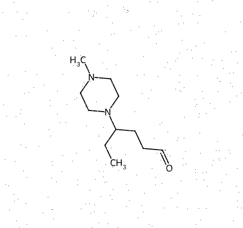 CCC(CC[C]=O)N1CCN(C)CC1